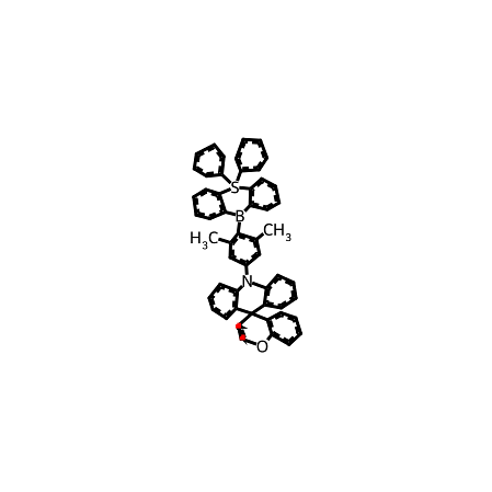 Cc1cc(N2c3ccccc3C3(c4ccccc4Oc4ccccc43)c3ccccc32)cc(C)c1B1c2ccccc2S(c2ccccc2)(c2ccccc2)c2ccccc21